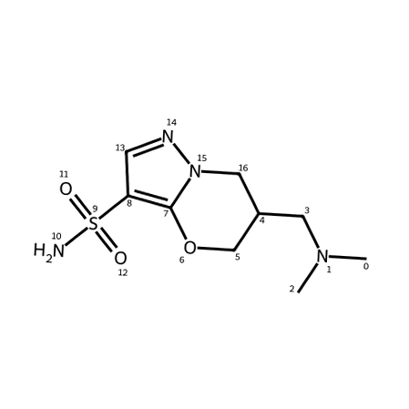 CN(C)CC1COc2c(S(N)(=O)=O)cnn2C1